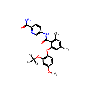 [2H]C([2H])([2H])Oc1cc(OC(F)(F)F)ccc1Oc1cc(C(F)(F)F)cc(C(F)(F)F)c1C(=O)Nc1ccc(C(N)=O)nc1